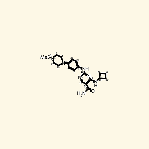 CSN1CCN(c2ccc(Nc3ncc(C(N)=O)c(NC4CCC4)n3)cc2)CC1